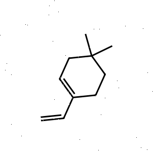 C=CC1=CCC(C)(C)CC1